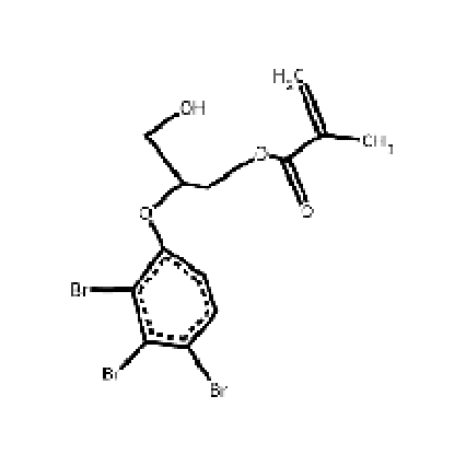 C=C(C)C(=O)OCC(CO)Oc1ccc(Br)c(Br)c1Br